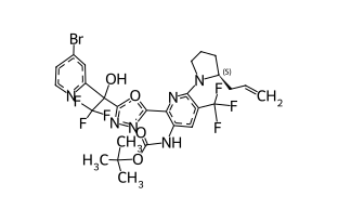 C=CC[C@@H]1CCCN1c1nc(-c2nnc(C(O)(c3cc(Br)ccn3)C(F)(F)F)o2)c(NC(=O)OC(C)(C)C)cc1C(F)(F)F